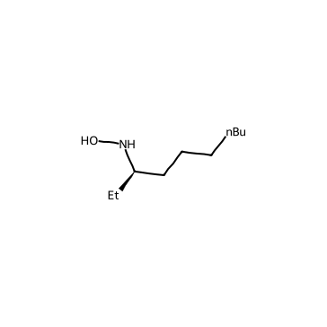 CCCCCCC[C@@H](CC)NO